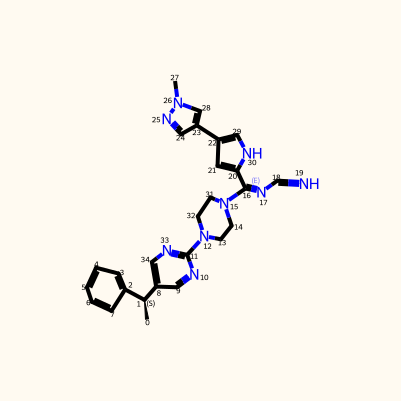 C[C@@H](c1ccccc1)c1cnc(N2CCN(/C(=N/C=N)c3cc(-c4cnn(C)c4)c[nH]3)CC2)nc1